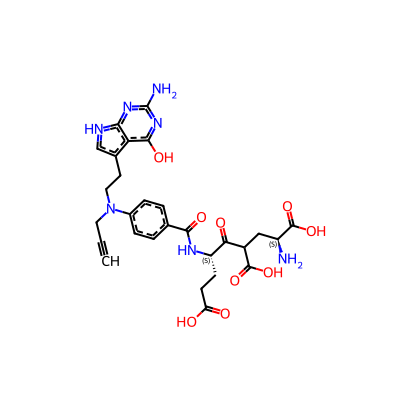 C#CCN(CCc1c[nH]c2nc(N)nc(O)c12)c1ccc(C(=O)N[C@@H](CCC(=O)O)C(=O)C(C[C@H](N)C(=O)O)C(=O)O)cc1